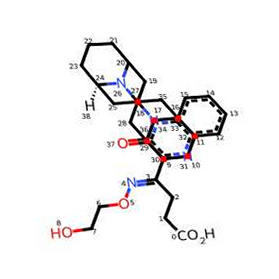 O=C(O)CC/C(=N\OCCO)c1nc2ccccc2n(C2CC3CCC[C@H](C2)N3C2CC3CCCC(C3)C2)c1=O